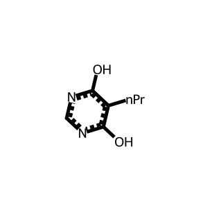 CCCc1c(O)ncnc1O